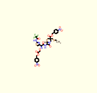 C=CSCC1(C(=O)OCc2ccc([N+](=O)[O-])cc2)CS[C@@H]2C(NC(=O)C(=NOCC(=O)OCc3ccc([N+](=O)[O-])cc3)c3csc(NC(=O)C(F)(F)F)n3)C(=O)N2C1